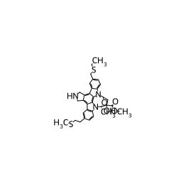 CCSCc1ccc2c(c1)c1c3c(c4c5cc(CCSC)ccc5n5c4c1n2C1C[C@](O)(C(=O)OC)[C@]5(C)O1)CNC3